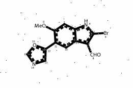 COc1cc2[nH]c(Br)c(C=O)c2cc1-c1cnco1